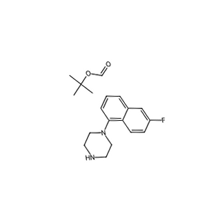 CC(C)(C)OC=O.Fc1ccc2c(N3CCNCC3)cccc2c1